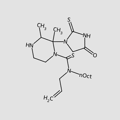 C=CCN(CCCCCCCC)C(=S)N1CCNC(C)C1(C)N1CC(=O)NC1=S